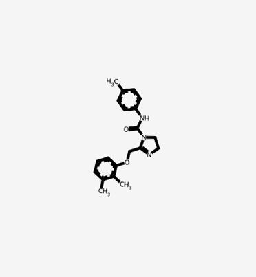 Cc1ccc(NC(=O)N2CCN=C2COc2cccc(C)c2C)cc1